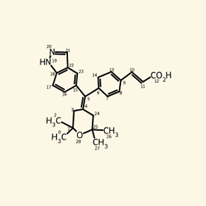 CC1(C)CC(=C(c2ccc(C=CC(=O)O)cc2)c2ccc3[nH]ncc3c2)CC(C)(C)O1